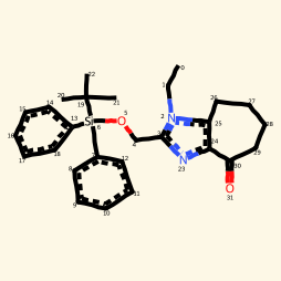 CCn1c(CO[Si](c2ccccc2)(c2ccccc2)C(C)(C)C)nc2c1CCCCC2=O